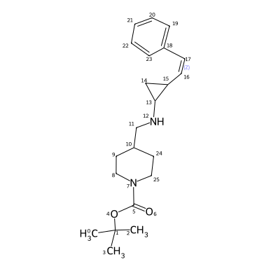 CC(C)(C)OC(=O)N1CCC(CNC2CC2/C=C\c2ccccc2)CC1